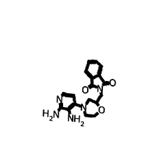 Nc1nccc(N2CCOC(CN3C(=O)c4ccccc4C3=O)C2)c1N